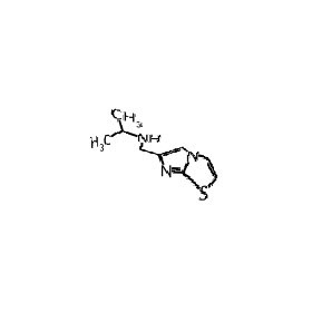 CC(C)NCc1cn2ccsc2n1